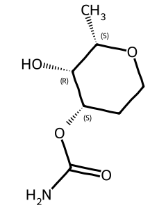 C[C@@H]1OCC[C@H](OC(N)=O)[C@@H]1O